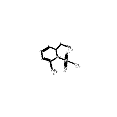 CCCC1=CC=CC(CN)N1S(C)(=O)=O